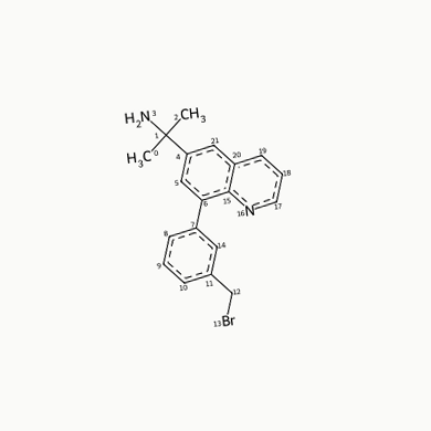 CC(C)(N)c1cc(-c2cccc(CBr)c2)c2ncccc2c1